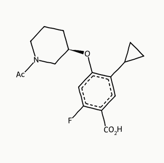 CC(=O)N1CCC[C@@H](Oc2cc(F)c(C(=O)O)cc2C2CC2)C1